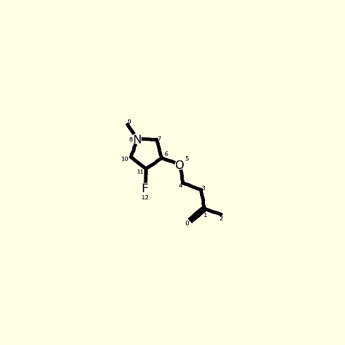 C=C(C)CCOC1CN(C)CC1F